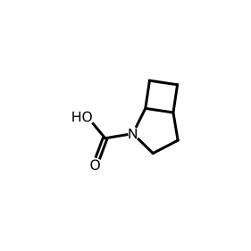 O=C(O)N1CCC2CCC21